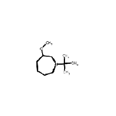 COC1CCCCN(C(C)(C)C)C1